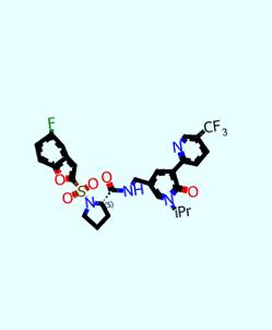 CC(C)n1cc(CNC(=O)[C@@H]2CCCN2S(=O)(=O)c2cc3cc(F)ccc3o2)cc(-c2ccc(C(F)(F)F)cn2)c1=O